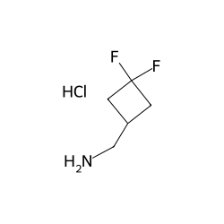 Cl.NCC1CC(F)(F)C1